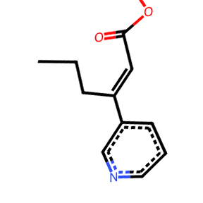 CCC/C(=C\C(=O)OC)c1cccnc1